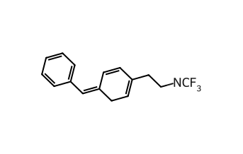 FC(F)(F)NCCC1=CCC(=Cc2ccccc2)C=C1